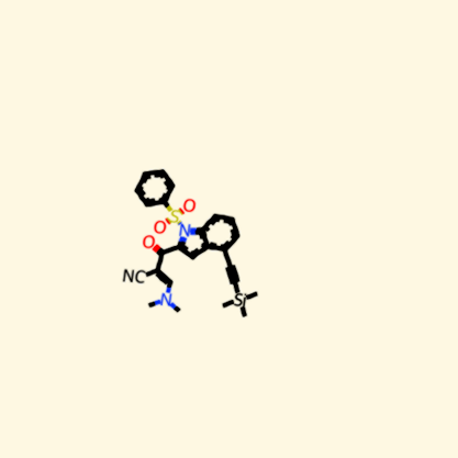 CN(C)C=C(C#N)C(=O)c1cc2c(C#C[Si](C)(C)C)cccc2n1S(=O)(=O)c1ccccc1